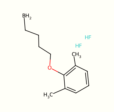 BCCCCOc1c(C)cccc1C.F.F